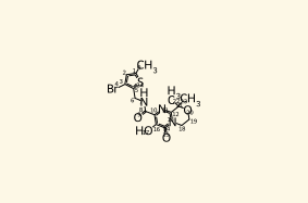 Cc1cc(Br)c(CNC(=O)c2nc3n(c(=O)c2O)CCOC3(C)C)s1